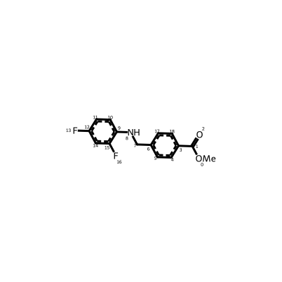 COC(=O)c1ccc(CNc2ccc(F)cc2F)cc1